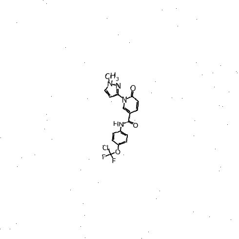 Cn1ccc(-n2cc(C(=O)Nc3ccc(OC(F)(F)Cl)cc3)ccc2=O)n1